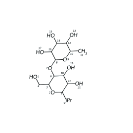 CC(C)C1OC(CO)C(OC2OC(C)C(O)C(O)C2O)C(O)C1O